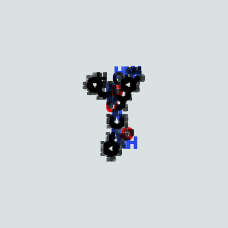 Cc1cc(CC(CC(=O)N2CCC(N3Cc4ccccc4NC3=O)CC2)c2nc(Cc3ccccc3)no2)cc2cn[nH]c12